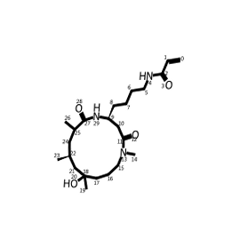 C=CC(=O)NCCCC[C@H]1CC(=O)N(C)CCCC(C)(O)C[C@@H](C)CC(C)C(=O)N1